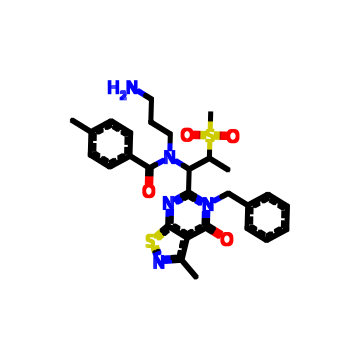 Cc1ccc(C(=O)N(CCCN)C(c2nc3snc(C)c3c(=O)n2Cc2ccccc2)C(C)S(C)(=O)=O)cc1